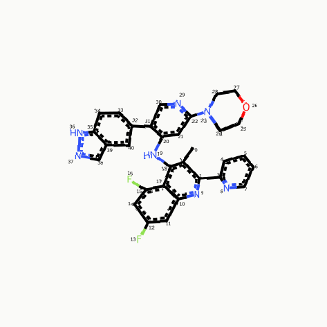 Cc1c(-c2ccccn2)nc2cc(F)cc(F)c2c1Nc1cc(N2CCOCC2)ncc1-c1ccc2[nH]ncc2c1